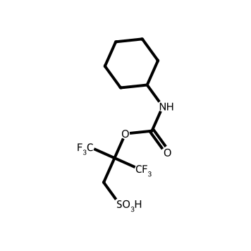 O=C(NC1CCCCC1)OC(CS(=O)(=O)O)(C(F)(F)F)C(F)(F)F